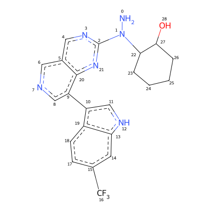 NN(c1ncc2cncc(-c3c[nH]c4cc(C(F)(F)F)ccc34)c2n1)C1CCCCC1O